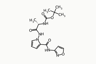 C[C@H](NC(=O)OC(C)(C)C)C(=O)Nn1cccc1C(=O)Nc1ccon1